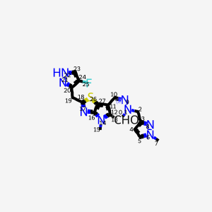 CN(Cc1ccn(C)n1)/N=C\c1c(C=O)n(C)c2nc(Cc3n[nH]cc3F)sc12